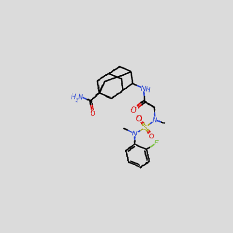 CN(CC(=O)NC1C2CC3CC1CC(C(N)=O)(C3)C2)S(=O)(=O)N(C)c1ccccc1F